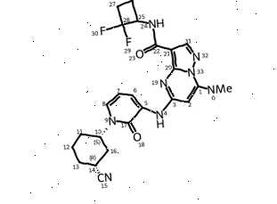 CNc1cc(Nc2cccn([C@H]3CCC[C@@H](C#N)C3)c2=O)nc2c(C(=O)NC3CCC3(F)F)cnn12